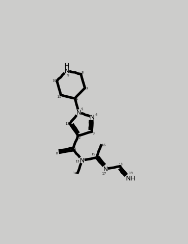 C=C(c1cnn(C2CCNCC2)c1)N(C)/C(C)=N/C=N